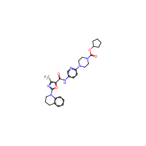 O=C(Nc1ccc(N2CCN(C(=O)OC3CCCC3)CC2)nc1)c1oc(N2CCCc3ccccc32)nc1C(F)(F)F